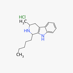 CCCCCC1NC(C)Cc2c1[nH]c1ccccc21.Cl